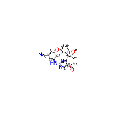 COc1ccc(Oc2cc(C#N)cc(Nc3ncc4c(n3)CCCCC4=O)c2)cc1